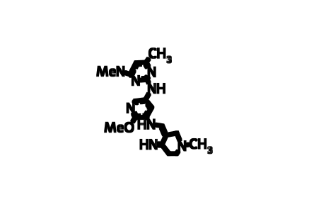 CNc1cc(C)nc(Nc2cnc(OC)c(N/C=C3/CN(C)CCC3=N)c2)n1